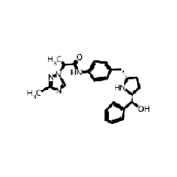 Cc1ncn(C(C)C(=O)Nc2ccc(C[C@@H]3CC[C@H](C(O)c4ccccc4)N3)cc2)n1